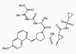 CC[C@H](C)[C@H](NC(=O)N[C@H](C(=O)N1C[C@H](Oc2nccc3cc(OC)ccc23)C[C@H]1C(=O)N[C@]1(C(=O)NS(=O)(=O)C2CC2)C[C@H]1I)C(C)(C)C)C(=O)OC